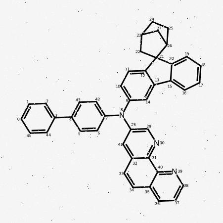 c1ccc(-c2ccc(N(c3ccc4c(c3)-c3ccccc3C43CC4CCC3C4)c3cnc4c(ccc5cccnc54)c3)cc2)cc1